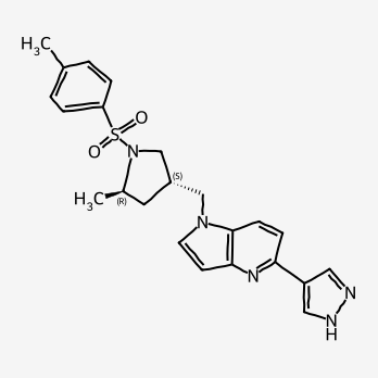 Cc1ccc(S(=O)(=O)N2C[C@H](Cn3ccc4nc(-c5cn[nH]c5)ccc43)C[C@H]2C)cc1